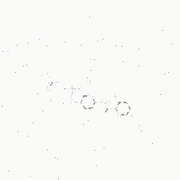 C[C@@H](c1nc(NC(=O)c2ncccc2Cl)ccc1F)C(F)(F)COC(=N)N